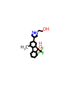 Cc1cc(-c2cnn(CCO)c2)cc2c1-c1ccccc1C2(O)C(F)(F)F